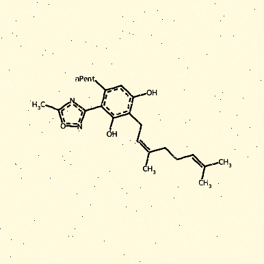 CCCCCc1cc(O)c(CC=C(C)CCC=C(C)C)c(O)c1-c1noc(C)n1